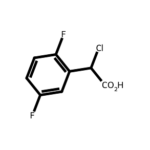 O=C(O)C(Cl)c1cc(F)ccc1F